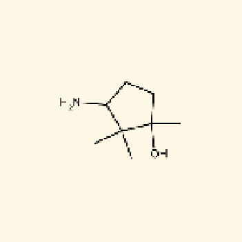 CC1(O)CCC(N)C1(C)C